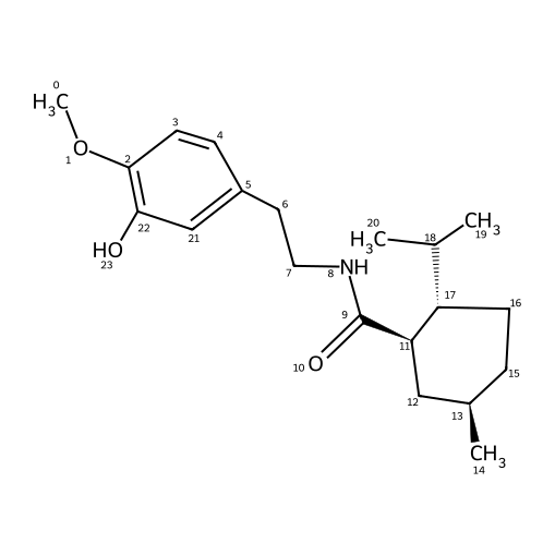 COc1ccc(CCNC(=O)[C@@H]2C[C@H](C)CC[C@H]2C(C)C)cc1O